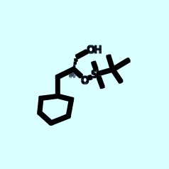 CC(C)(C)[Si](C)(C)O[C@@H](CO)CC1CCCCC1